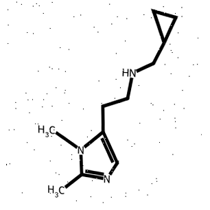 Cc1ncc(CCNCC2CC2)n1C